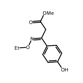 CCO/N=C(/CC(=O)OC)c1ccc(O)cc1